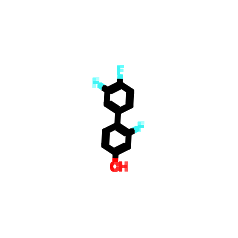 Oc1ccc(-c2ccc(F)c(F)c2)c(F)c1